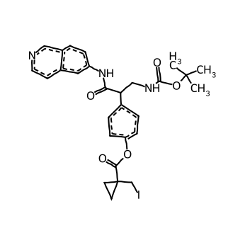 CC(C)(C)OC(=O)NCC(C(=O)Nc1ccc2cnccc2c1)c1ccc(OC(=O)C2(CI)CC2)cc1